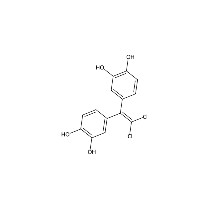 Oc1ccc(C(=C(Cl)Cl)c2ccc(O)c(O)c2)cc1O